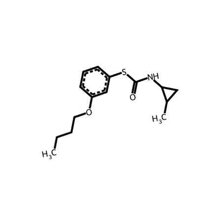 CCCCOc1cccc(SC(=O)NC2CC2C)c1